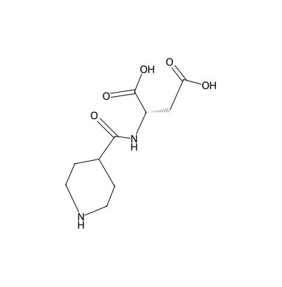 O=C(O)C[C@H](NC(=O)C1CCNCC1)C(=O)O